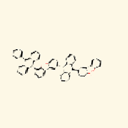 c1ccc(-c2c3ccccc3c(-c3cccc4c3oc3ccc(-c5c6ccccc6c(-c6ccc7oc8ccccc8c7c6)c6ccccc56)cc34)c3ccccc23)cc1